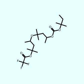 CCC(C)(C)OC(=O)OC(C)CC(C)(C)OC(C)CC(C)(C)OC(=O)C(F)(F)F